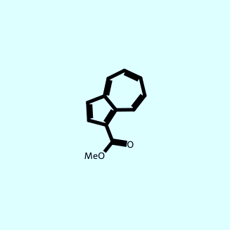 COC(=O)c1ccc2cccccc1-2